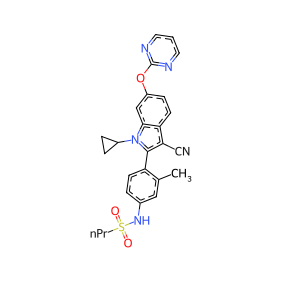 CCCS(=O)(=O)Nc1ccc(-c2c(C#N)c3ccc(Oc4ncccn4)cc3n2C2CC2)c(C)c1